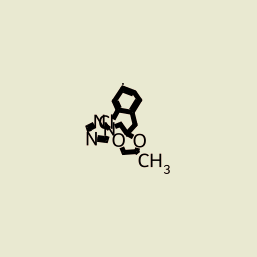 CC1COC(Cc2cc[c]cc2Cl)(Cn2cncn2)O1